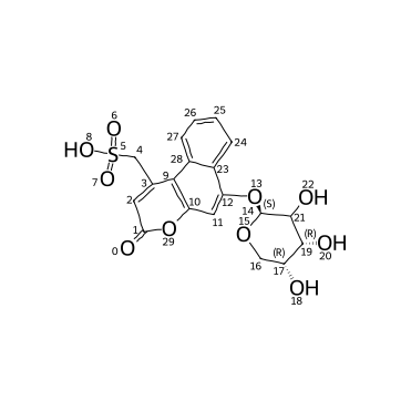 O=c1cc(CS(=O)(=O)O)c2c(cc(O[C@@H]3OC[C@@H](O)[C@@H](O)C3O)c3ccccc32)o1